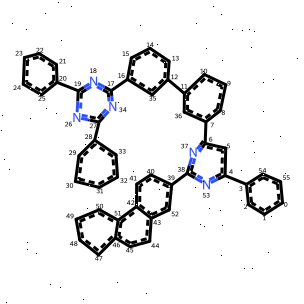 c1ccc(-c2cc(-c3cccc(-c4cccc(-c5nc(-c6ccccc6)nc(-c6ccccc6)n5)c4)c3)nc(-c3ccc4c(ccc5ccccc54)c3)n2)cc1